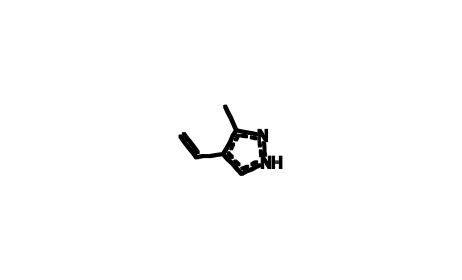 C=Cc1c[nH]nc1C